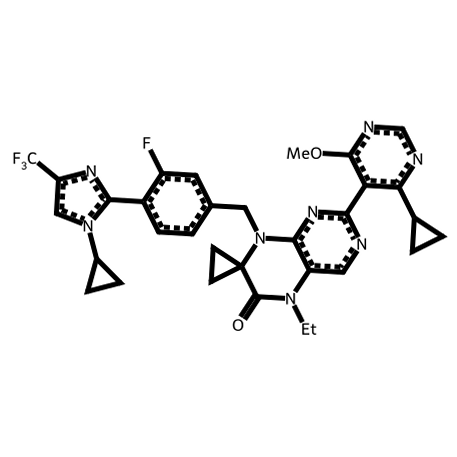 CCN1C(=O)C2(CC2)N(Cc2ccc(-c3nc(C(F)(F)F)cn3C3CC3)c(F)c2)c2nc(-c3c(OC)ncnc3C3CC3)ncc21